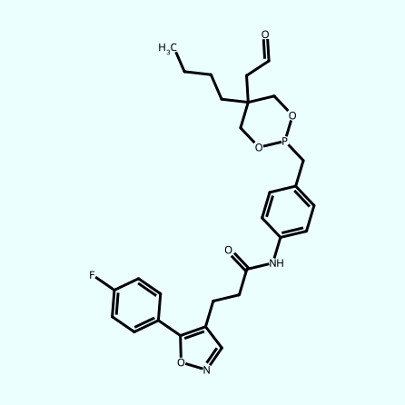 CCCCC1(CC=O)COP(Cc2ccc(NC(=O)CCc3cnoc3-c3ccc(F)cc3)cc2)OC1